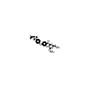 CC(C)(C)OC(=O)/N=C(\NC(=O)OC(C)(C)C)Nc1ccc(Oc2ccc(S(=O)(=O)CC3CS3)cc2)cc1